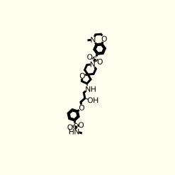 CNS(=O)(=O)c1cccc(OC[C@@H](O)CN[C@@H]2COC3(CCN(S(=O)(=O)c4ccc5c(c4)N(C)CCO5)CC3)C2)c1